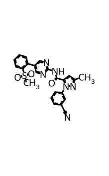 Cc1cc(C(=O)Nc2ncc(-c3ccccc3S(C)(=O)=O)cn2)n(-c2cccc(C#N)c2)n1